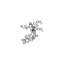 COc1cccc(OP(=O)(N[C@@H](C)C(=O)OC(C)C)OCC2OC(n3ccc(=O)[nH]c3=O)[C@](Cl)(Br)[C@@H]2O)c1